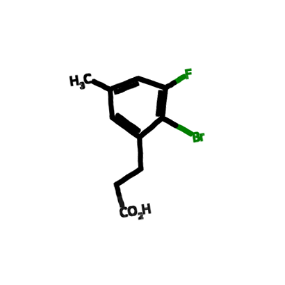 Cc1cc(F)c(Br)c(CCC(=O)O)c1